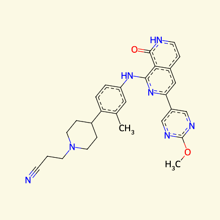 COc1ncc(-c2cc3cc[nH]c(=O)c3c(Nc3ccc(C4CCN(CCC#N)CC4)c(C)c3)n2)cn1